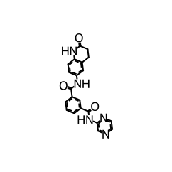 O=C1CCc2cc(NC(=O)c3cccc(C(=O)Nc4cnccn4)c3)ccc2N1